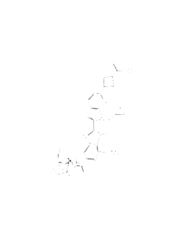 COC(=O)C1CC(c2ccc3cc(-c4nc5cc(C(=O)N6C[C@H]7CC[C@@H]6[C@@H]7N)cc(OC)c5n4C)n(CC4CC4)c3n2)C1